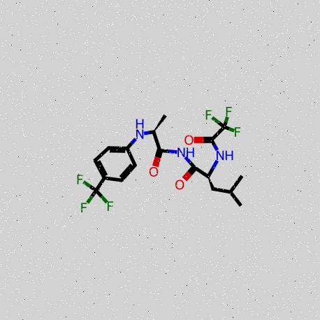 CC(C)C[C@H](NC(=O)C(F)(F)F)C(=O)NC(=O)[C@H](C)Nc1ccc(C(F)(F)F)cc1